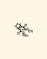 CC(C)(C)OC(=O)N1C2CCC(C2)C1C(=O)NCC#N